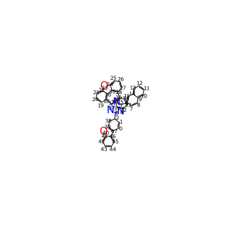 C1=CC(c2nc(-c3ccc4ccccc4c3)nc(-c3cccc4oc5cccc(-c6ccccc6)c5c34)n2)Cc2oc3ccccc3c21